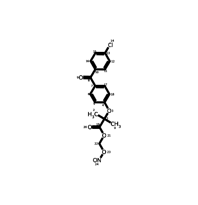 CC(C)(Oc1ccc(C(=O)c2ccc(Cl)cc2)cc1)C(=O)OCON=O